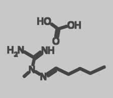 CCCCC=NN(C)C(=N)N.O=C(O)O